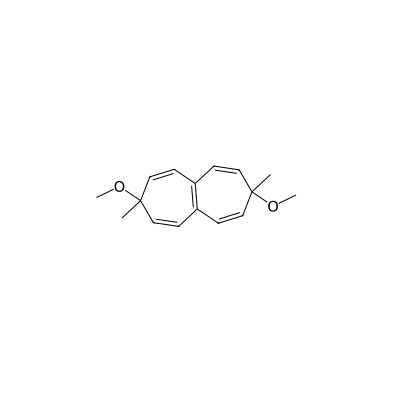 COC1(C)C=CC2=C(C=C1)C=CC(C)(OC)C=C2